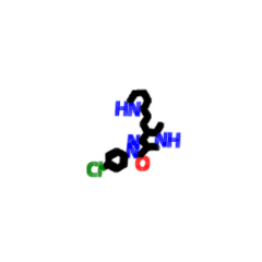 Cc1[nH]cc2c(=O)n(-c3ccc(Cl)cc3)nc-2c1CCC1CCCCN1